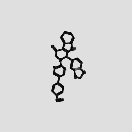 COc1ccc(-c2cnc(N3CC(=O)c4c([nH]c5ccccc45)C3c3ccc4c(c3)OCO4)nc2)cc1